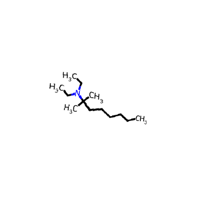 CCCCCCC(C)(C)N(CC)CC